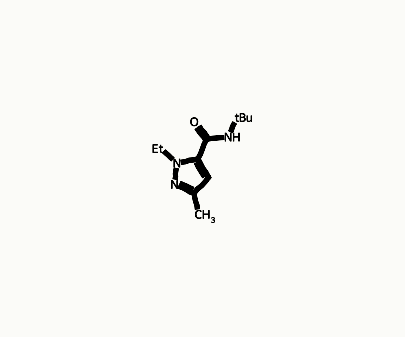 CCn1nc(C)cc1C(=O)NC(C)(C)C